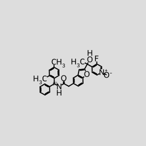 Cc1ccc([C@@H](NC(=O)Cc2ccc3oc(C(C)(O)c4cc[n+]([O-])cc4F)cc3c2)c2ccccc2)c(C)c1